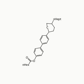 CCCCCCCC1CCC(c2ccc(-c3ccc(OC(=O)CCCCCC)cc3)cc2)CC1